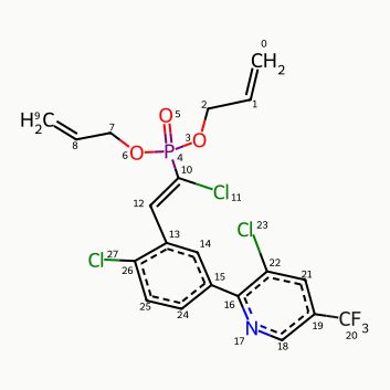 C=CCOP(=O)(OCC=C)C(Cl)=Cc1cc(-c2ncc(C(F)(F)F)cc2Cl)ccc1Cl